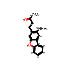 COC(=O)CCc1cc2oc3ccccc3c2cc1NC(C)=O